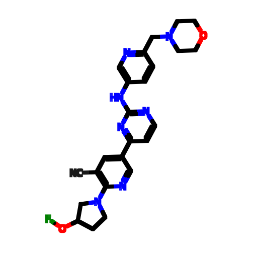 N#Cc1cc(-c2ccnc(Nc3ccc(CN4CCOCC4)nc3)n2)cnc1N1CCC(OF)C1